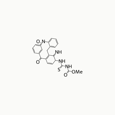 COC(=O)NC(=S)NC1C=CC(C(=O)c2ccccc2)=C(Cc2ccccc2[N+](=O)[O-])C1=N